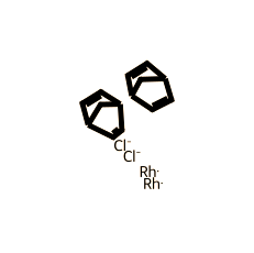 C1=CC2C=CC1C2.C1=CC2C=CC1C2.[Cl-].[Cl-].[Rh].[Rh]